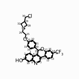 Oc1ccc2c3c(cnc2c1)-c1ccc(C(F)(F)F)cc1OC3c1ccc(OCCN2CC(CCl)C2)cc1